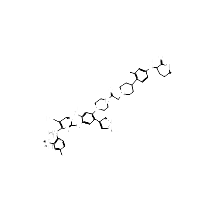 COc1cc(N2CCN(C(=O)CN3CCC(c4ccc(NC5CCC(=O)NC5=O)cc4F)CC3)CC2)c(-c2cnn(C)c2)cc1Nc1ncc(Br)c(Nc2ccc(F)cc2P(C)(C)=O)n1